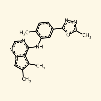 Cc1nnc(-c2ccc(C)c(Nc3ncnn4cc(C)c(C)c34)c2)o1